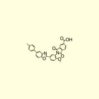 COc1ccc(-c2nc3cc(-c4ccc(C)cc4)ccc3o2)cc1N1C(=O)c2ccc(C(=O)O)cc2C1=O